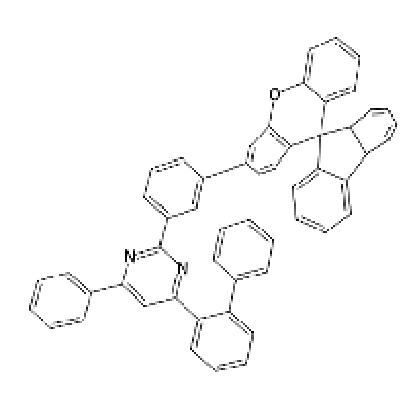 C1=CC2c3ccccc3C3(c4ccccc4Oc4cc(-c5cccc(-c6nc(-c7ccccc7)cc(-c7ccccc7-c7ccccc7)n6)c5)ccc43)C2C=C1